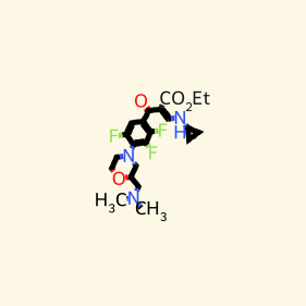 CCOC(=O)C(=CNC1CC1)C(=O)c1cc(F)c(N2CCOC(CN(C)C)C2)c(F)c1F